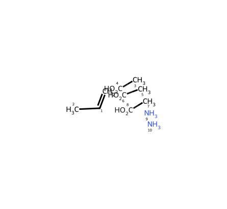 C=CC.CC(=O)O.CC(=O)O.CC(=O)O.N.N